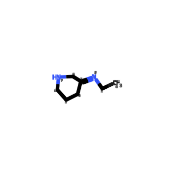 FC(F)(F)CN=C1CCCNC1